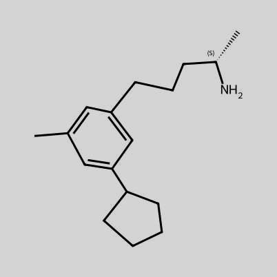 Cc1cc(CCC[C@H](C)N)cc(C2CCCC2)c1